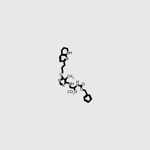 Cc1c(NCC(NC(=O)OCc2ccccc2)C(=O)O)ncnc1OCCCc1ccc2c(n1)NCCC2